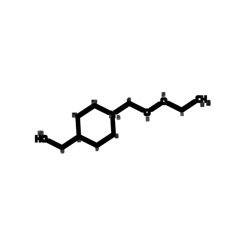 CCOOCN1CCC(CO)CC1